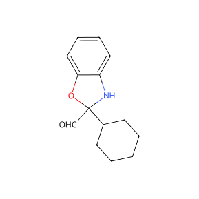 O=CC1(C2CCCCC2)Nc2ccccc2O1